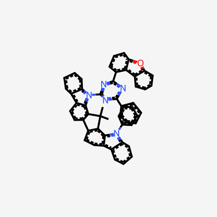 CC1(C)c2c(ccc3c4ccccc4n(-c4ccccc4)c23)-c2ccc3c4ccccc4n(-c4nc(-c5ccccc5)nc(-c5cccc6oc7ccccc7c56)n4)c3c21